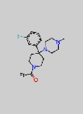 CCC(=O)N1CCC(c2cccc(F)c2)(N2CCN(C)CC2)CC1